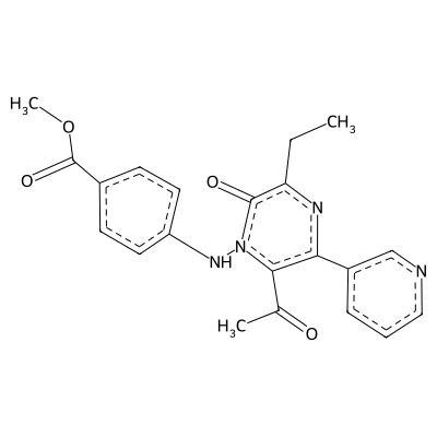 CCc1nc(-c2cccnc2)c(C(C)=O)n(Nc2ccc(C(=O)OC)cc2)c1=O